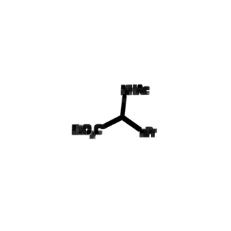 CCCC(NC(C)=O)C(=O)OCC